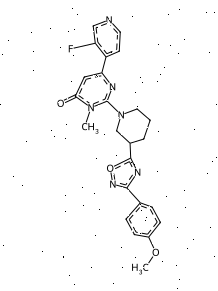 COc1ccc(-c2noc(C3CCCN(c4nc(-c5ccncc5F)cc(=O)n4C)C3)n2)cc1